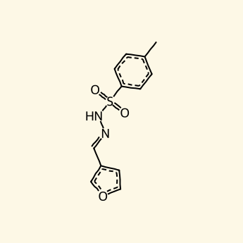 Cc1ccc(S(=O)(=O)NN=Cc2ccoc2)cc1